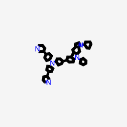 c1ccc(-n2ccc3cc4c5cc(-c6ccc(N(c7ccc(-c8cccnc8)cc7)c7ccc(-c8cccnc8)cc7)cc6)ccc5n(-c5ccccc5)c4cc32)cc1